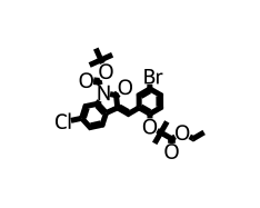 CCOC(=O)C(C)(C)Oc1ccc(Br)cc1C=C1C(=O)N(C(=O)OC(C)(C)C)c2cc(Cl)ccc21